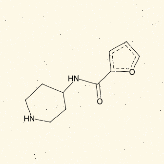 O=C(NC1CCNCC1)c1ccco1